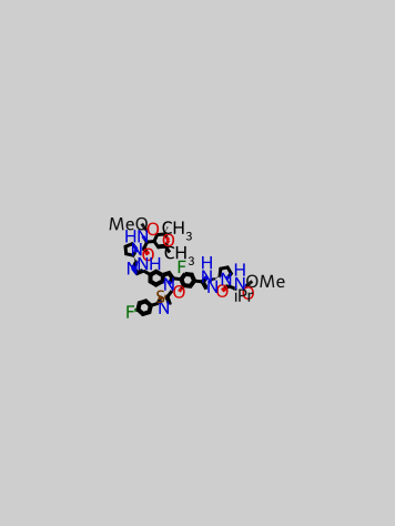 COC(=O)NC(C(=O)N1CCC[C@H]1c1ncc(-c2cc(F)c3c(c2)OC(c2cnc(-c4ccc(F)cc4)s2)n2c-3cc3cc(-c4cnc([C@@H]5CCCN5C(=O)C(NC(=O)OC)C5C=C(C)O[C@@H](C)C5)[nH]4)ccc32)[nH]1)C(C)C